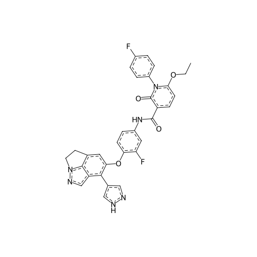 CCOc1ccc(C(=O)Nc2ccc(Oc3cc4c5c(cnn5CC4)c3-c3cn[nH]c3)c(F)c2)c(=O)n1-c1ccc(F)cc1